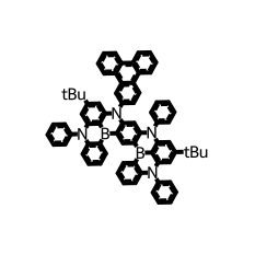 CC(C)(C)c1cc2c3c(c1)N(c1ccccc1)c1cc4c(cc1B3c1ccccc1N2c1ccccc1)B1c2ccccc2N(c2ccccc2)c2cc(C(C)(C)C)cc(c21)N4c1ccc2c3ccccc3c3ccccc3c2c1